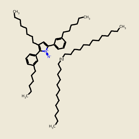 CCCCCCCCC1=C(c2cccc(CCCCCC)c2)[N+](=[N-])C(c2cccc(CCCCCC)c2)=C1.CCCCCCCCCCCC[CH2][Pd][CH2]CCCCCCCCCCCC